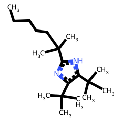 CCCCCC(C)(C)c1nc(C(C)(C)C)c(C(C)(C)C)[nH]1